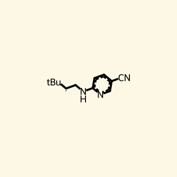 CC(C)(C)[CH]CNc1ccc(C#N)cn1